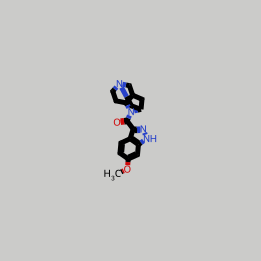 COc1ccc2c(C(=O)N3C4CC5CN(CCC53)C4)n[nH]c2c1